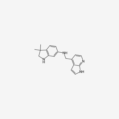 CC1(C)CNc2cc(NCc3ccnc4[nH]ccc34)ccc21